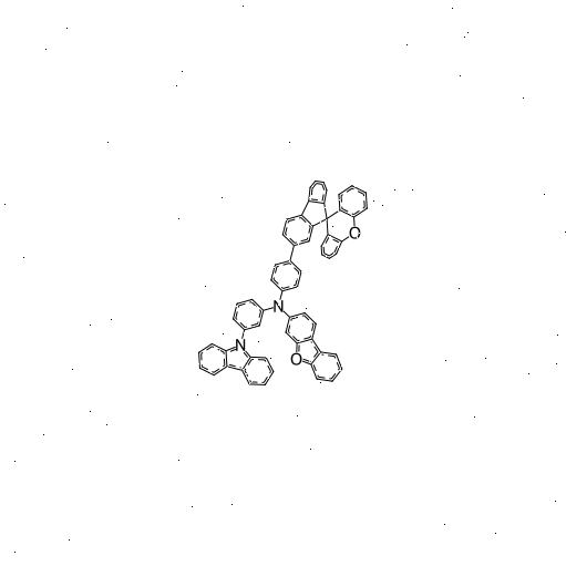 c1cc(N(c2ccc(-c3ccc4c(c3)C3(c5ccccc5Oc5ccccc53)c3ccccc3-4)cc2)c2ccc3c(c2)oc2ccccc23)cc(-n2c3ccccc3c3ccccc32)c1